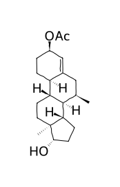 CC(=O)O[C@H]1C=C2C[C@@H](C)[C@@H]3[C@H](CC[C@]4(C)[C@@H](O)CC[C@@H]34)[C@H]2CC1